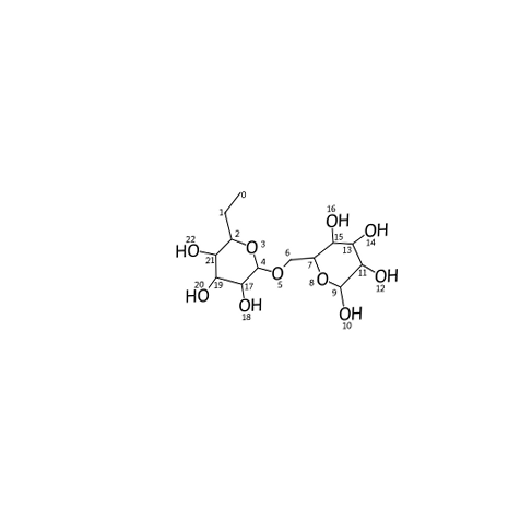 CCC1OC(OCC2OC(O)C(O)C(O)C2O)C(O)C(O)C1O